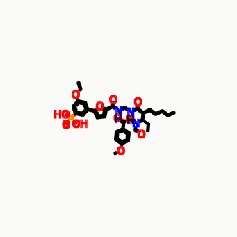 CCCCCC(C(=O)NCNC(=O)c1ccc(-c2cc(OCC)cc(P(=O)(O)O)c2)o1)[C@@H](CC)N(C=O)OC(=O)c1ccc(OC)cc1